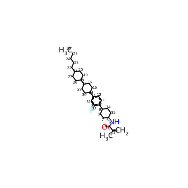 C=C(C)C(=O)NC1CCC(c2ccc(C3CCC(C4CCC(CCCCC)CC4)CC3)cc2F)CC1